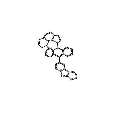 OC1CC=Cc2ccc3c(c21)C(c1c2ccccc2c(-c2ccc4oc5ccccc5c4c2)c2ccccc12)C=C3